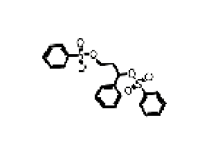 O=S(=O)(OCCC(OS(=O)(=O)c1ccccc1)c1ccccc1)c1ccccc1